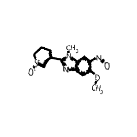 COc1cc2nc(C3CCC[S+]([O-])C3)n(C)c2cc1N=O